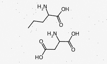 CCCC(N)C(=O)O.NC(CC(=O)O)C(=O)O